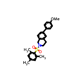 COc1ccc(-c2ccc3c(c2)CCN(S(=O)(=O)c2c(C)cc(C)cc2C)C3)cc1